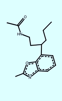 CCCC(CCNC(C)=O)c1cccc2nc(C)oc12